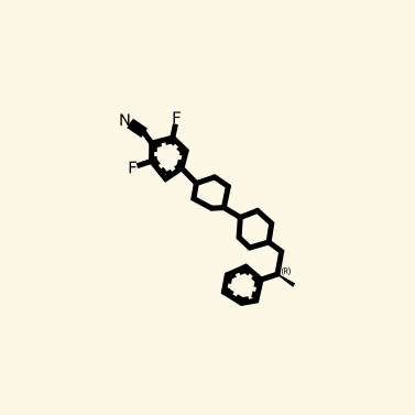 C[C@H](CC1CCC(C2CCC(c3cc(F)c(C#N)c(F)c3)CC2)CC1)c1ccccc1